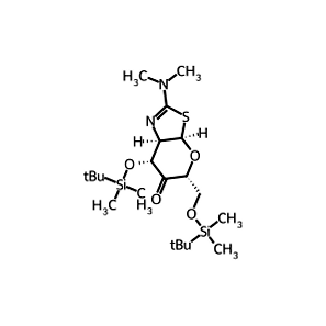 CN(C)C1=N[C@H]2[C@H](O[C@H](CO[Si](C)(C)C(C)(C)C)C(=O)[C@@H]2O[Si](C)(C)C(C)(C)C)S1